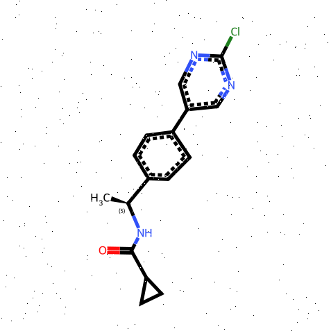 C[C@H](NC(=O)C1CC1)c1ccc(-c2cnc(Cl)nc2)cc1